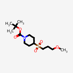 COCCCS(=O)(=O)C1CCN(C(=O)OC(C)(C)C)CC1